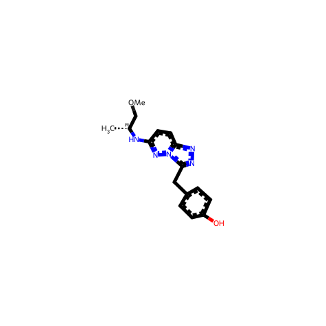 COC[C@@H](C)Nc1ccc2nnc(Cc3ccc(O)cc3)n2n1